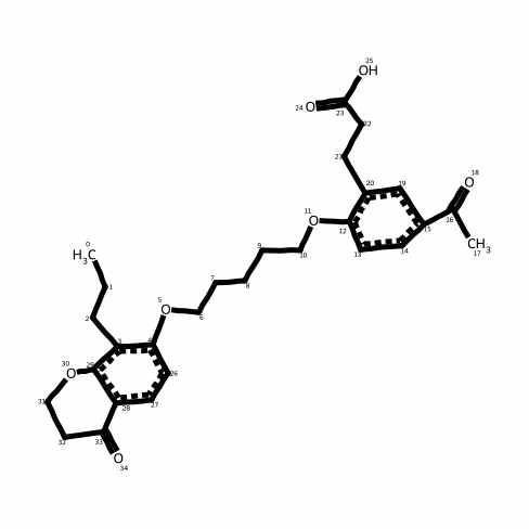 CCCc1c(OCCCCCOc2ccc(C(C)=O)cc2CCC(=O)O)ccc2c1OCCC2=O